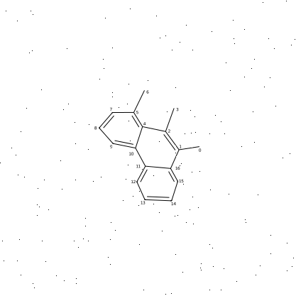 Cc1c(C)c2c(C)cccc2c2ccccc12